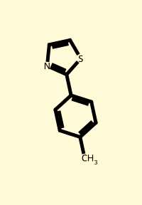 Cc1ccc(-c2nccs2)cc1